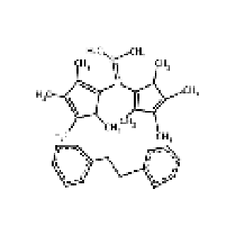 CC1=C(C)C(C)[C]([Ti]([C]2=C(C)C(C)=C(C)C2C)=[Si](C)C)=C1C.c1ccc(CCc2ccccc2)cc1